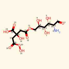 N[C@@H](C=O)[C@@H](O)[C@H](O)[C@H](O)COC(=O)CC(O)(CC(=O)OO)C(=O)O